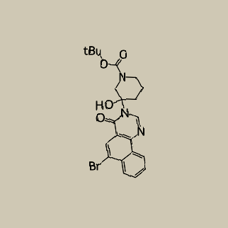 CC(C)(C)OC(=O)N1CCCC(O)(n2cnc3c(cc(Br)c4ccccc43)c2=O)C1